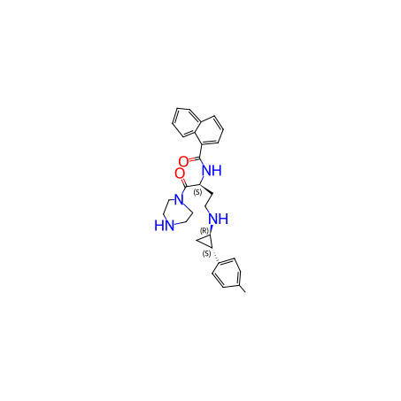 Cc1ccc([C@@H]2C[C@H]2NCC[C@H](NC(=O)c2cccc3ccccc23)C(=O)N2CCNCC2)cc1